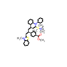 COC(=O)c1ccc(C(=C\c2sc3ccccc3[n+]2C)/C=C2\C=C(S(C)(C)N(C)C)N(c3ccccc3)c3ccccc32)cc1